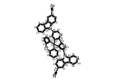 N#Cc1ccc2c(c1)c1ccccc1n2-c1cnc2c(c1)C1(c3ccccc3Oc3ccccc31)c1cc(-n3c4ccc(C#N)cc4c4ccncc43)cnc1-2